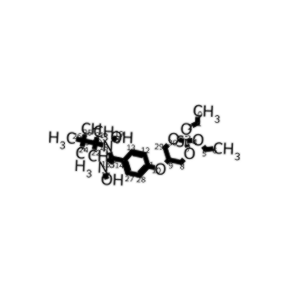 CCO[Si]1(OCC)OCC(Oc2ccc(/C(=N\O)N(O)C(C)(C)C(C)(C)C)cc2)CO1